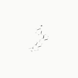 NC1(C=O)CCC2=CCC(OC3=C(C4=CC(N=O)=CCC4)CCC=C3)C=C2C1